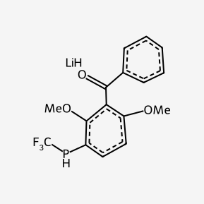 COc1ccc(PC(F)(F)F)c(OC)c1C(=O)c1ccccc1.[LiH]